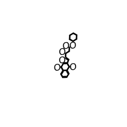 O=C(CC(=O)c1cc2c(o1)C(=O)c1ccccc1C2=O)OC1CCCCC1